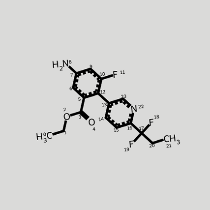 CCOC(=O)c1cc(N)cc(F)c1-c1ccc(C(F)(F)CC)nc1